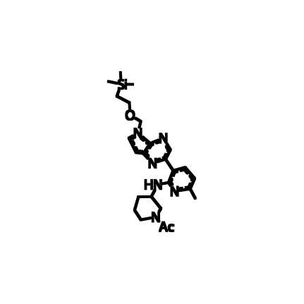 CC(=O)N1CCCC(Nc2nc(C)ccc2-c2cnc3c(ccn3COCC[Si](C)(C)C)n2)C1